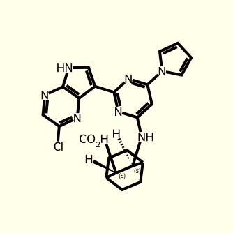 O=C(O)[C@H]1C2CCC(CC2)[C@@H]1Nc1cc(-n2cccc2)nc(-c2c[nH]c3ncc(Cl)nc23)n1